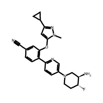 Cn1nc(C2CC2)cc1Oc1cc(C#N)ccc1-c1ccc(N2CC[C@@H](F)[C@H](N)C2)cn1